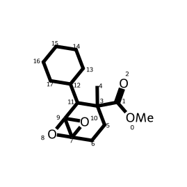 COC(=O)C1(C)CCC23OC2(O3)C1C1CCCCC1